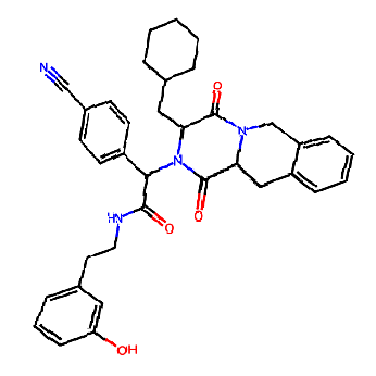 N#Cc1ccc(C(C(=O)NCCc2cccc(O)c2)N2C(=O)C3Cc4ccccc4CN3C(=O)C2CC2CCCCC2)cc1